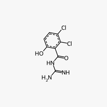 N=C(N)NC(=O)c1c(O)ccc(Cl)c1Cl